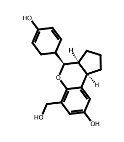 OCc1cc(O)cc2c1O[C@@H](C1C=CC(O)=CC1)[C@H]1CCC[C@@H]21